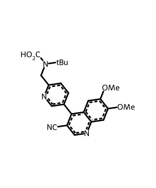 COc1cc2ncc(C#N)c(-c3ccc(CN(C(=O)O)C(C)(C)C)nc3)c2cc1OC